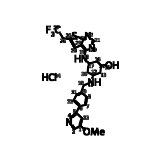 COc1cncc(-c2ccc(CN[C@@H]3C[C@H](O)C[C@H](Nc4ncnc5sc(CC(F)(F)F)cc45)C3)cc2)c1.Cl